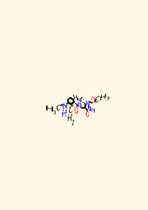 CCNc1cccc(C(=O)NCc2c(C)n(CCOC)[nH]c2=O)c1C